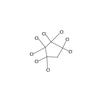 ClC1(Cl)CC(Cl)(Cl)C(Cl)(Cl)C1(Cl)Cl